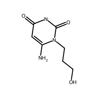 NC1=CC(=O)[N]C(=O)N1CCCO